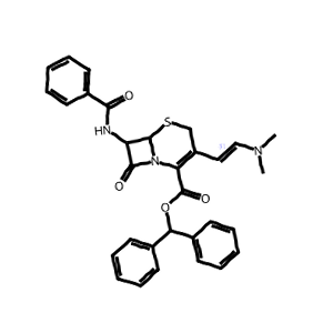 CN(C)/C=C/C1=C(C(=O)OC(c2ccccc2)c2ccccc2)N2C(=O)C(NC(=O)c3ccccc3)C2SC1